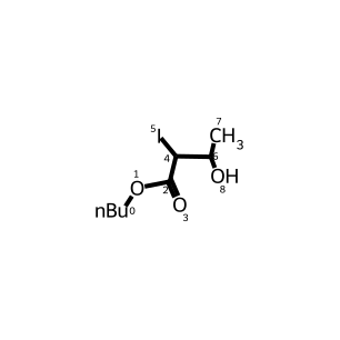 CCCCOC(=O)C(I)C(C)O